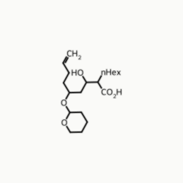 C=CCCC(CC(O)C(CCCCCC)C(=O)O)OC1CCCCO1